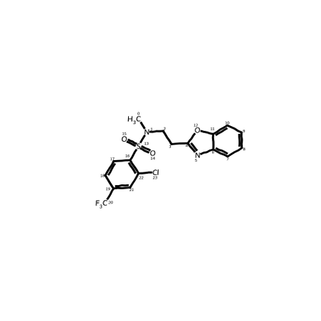 CN(CCc1nc2ccccc2o1)S(=O)(=O)c1ccc(C(F)(F)F)cc1Cl